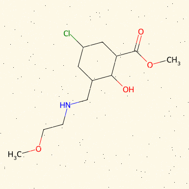 COCCNCC1CC(Cl)CC(C(=O)OC)C1O